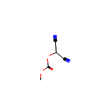 COC(=O)OC(C#N)C#N